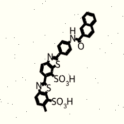 Cc1ccc2nc(-c3ccc4nc(-c5ccc(NC(=O)c6ccc7ccccc7c6)cc5)sc4c3S(=O)(=O)O)sc2c1S(=O)(=O)O